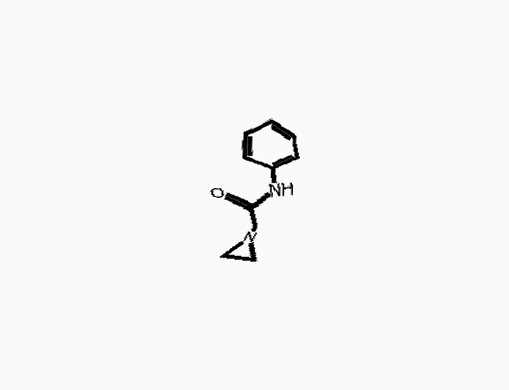 O=C(Nc1ccccc1)N1CC1